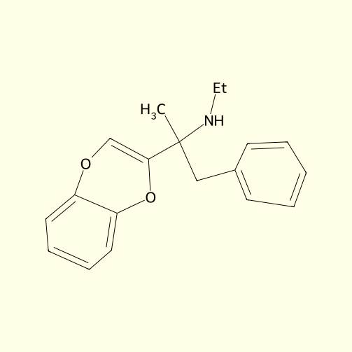 CCNC(C)(Cc1ccccc1)C1=COc2ccccc2O1